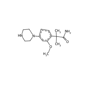 COc1cc(N2CCNCC2)ccc1C(C)(C)C(N)=O